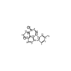 Cc1cccc(C2=NCC(=O)N3CCOc4cccc2c43)c1